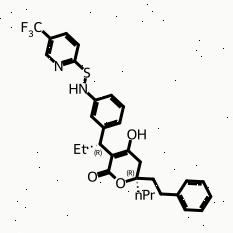 CCC[C@@]1(CCc2ccccc2)CC(O)=C([C@H](CC)c2cccc(NSc3ccc(C(F)(F)F)cn3)c2)C(=O)O1